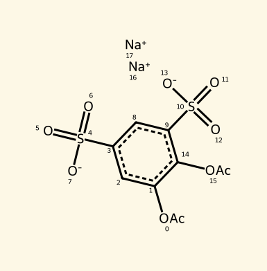 CC(=O)Oc1cc(S(=O)(=O)[O-])cc(S(=O)(=O)[O-])c1OC(C)=O.[Na+].[Na+]